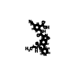 CCNS(=O)(=O)c1cc2c(C(=O)Nc3ccc(C#N)cc3C(=O)O)noc2cc1-c1ccncc1